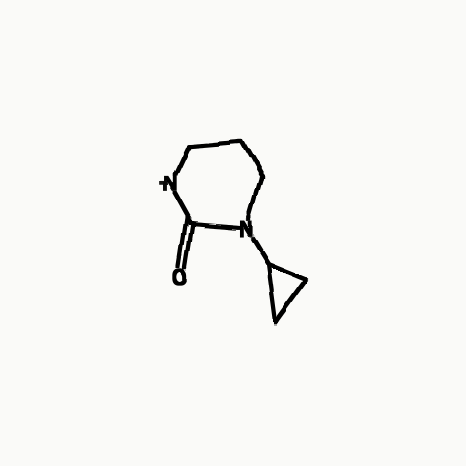 O=C1[N]CCCN1C1CC1